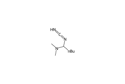 CCCCC(N=C=N)N(C)C